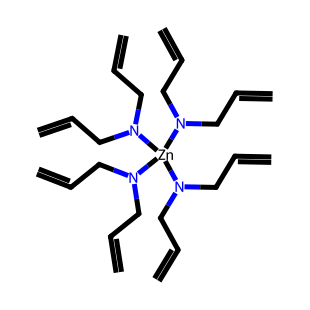 C=CC[N](CC=C)[Zn]([N](CC=C)CC=C)([N](CC=C)CC=C)[N](CC=C)CC=C